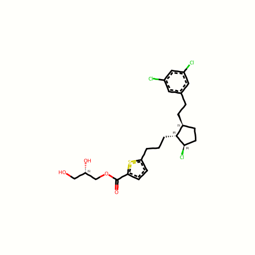 O=C(OC[C@@H](O)CO)c1ccc(CCC[C@@H]2[C@@H](CCc3cc(Cl)cc(Cl)c3)CC[C@H]2Cl)s1